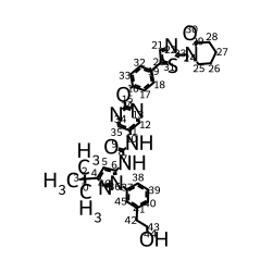 CC(C)(C)c1cc(NC(=O)Nc2cnc(Oc3ccc(-c4cnc(N5CCCCC5=O)s4)cc3)nc2)n(-c2cccc(CCO)c2)n1